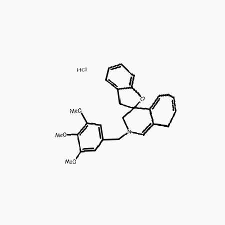 COc1cc(CN2C=C3CC=CC=C3C3(Cc4ccccc4O3)C2)cc(OC)c1OC.Cl